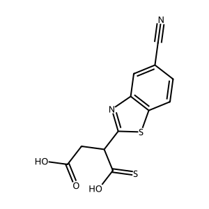 N#Cc1ccc2sc(C(CC(=O)O)C(O)=S)nc2c1